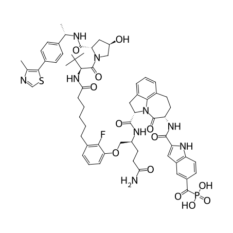 Cc1ncsc1-c1ccc([C@H](C)NC(=O)[C@@H]2C[C@@H](O)CN2C(=O)[C@@H](NC(=O)CCCCCc2cccc(OC[C@H](CCC(N)=O)NC(=O)[C@@H]3Cc4cccc5c4N3C(=O)[C@@H](NC(=O)c3cc4cc(C(=O)P(=O)(O)O)ccc4[nH]3)CC5)c2F)C(C)(C)C)cc1